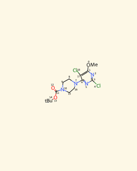 COc1nc(Cl)nc(N2CCN(C(=O)OC(C)(C)C)CC2)c1Cl